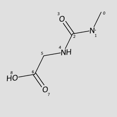 C[N]C(=O)NCC(=O)O